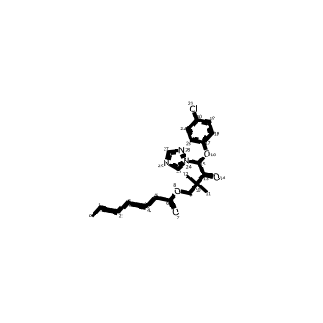 CC=CC=CCC(=O)OCC(C)(C)C(=O)C(Oc1ccc(Cl)cc1)n1cncn1